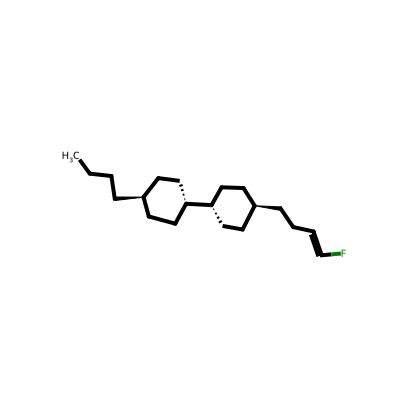 CCCC[C@H]1CC[C@H]([C@H]2CC[C@H](CCC=CF)CC2)CC1